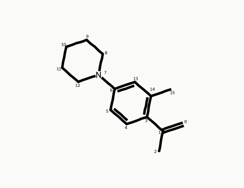 C=C(C)c1ccc(N2CCCCC2)cc1C